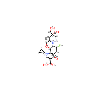 O=C(O)c1cn(C2CC2)c2c3c(c(F)cc2c1=O)N1CC[C@](O)(CO)C[C@@H]1CO3